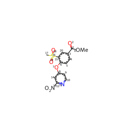 COC(=O)c1ccc(Oc2ccnc([N+](=O)[O-])c2)c(S(C)(=O)=O)c1